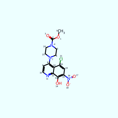 COC(=O)N1CCN(c2ccnc3c(O)c([N+](=O)[O-])cc(Cl)c23)CC1